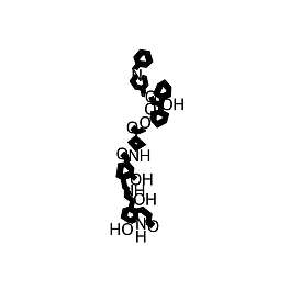 O=C(N[C@H]1C[C@H](C(=O)COc2cccc([C@](O)(C(=O)OCC3CCN(Cc4ccccc4)CC3)c3ccccc3)c2)C1)c1ccc(CNC[C@H](O)c2ccc(O)c3[nH]c(=O)ccc23)c(O)c1